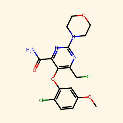 COc1ccc(Cl)c(Oc2c(CCl)nc(N3CCOCC3)nc2C(N)=O)c1